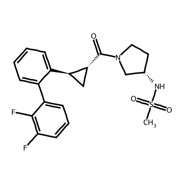 CS(=O)(=O)N[C@H]1CCN(C(=O)[C@@H]2C[C@H]2c2ccccc2-c2cccc(F)c2F)C1